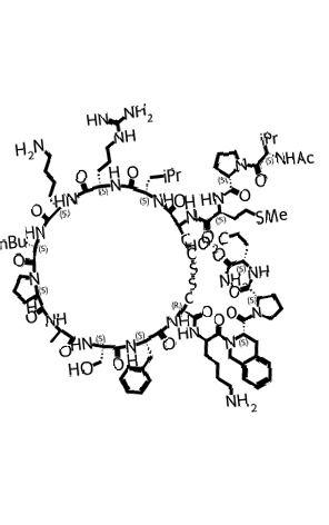 CCCC[C@@H]1NC(=O)[C@H](CCCCN)NC(=O)[C@H](CCCNC(=N)N)NC(=O)[C@H](CC(C)C)NC(=O)C(NC(=O)[C@H](CCSC)NC(=O)[C@@H]2CCCN2C(=O)[C@@H](NC(C)=O)C(C)C)CCSSC[C@@H](C(=O)NC(CCCCN)C(=O)N2Cc3ccccc3C[C@H]2C(=O)N2CCC[C@H]2C(=O)N[C@@H](CCC(=O)O)C(N)=O)NC(=O)[C@H](Cc2ccccc2)NC(=O)[C@H](CO)NC(=O)C(C)NC(=O)[C@@H]2CCCN2C1=O